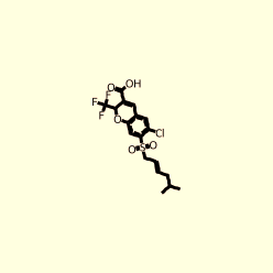 CC(C)CC=CCS(=O)(=O)c1cc2c(cc1Cl)C=C(C(=O)O)C(C(F)(F)F)O2